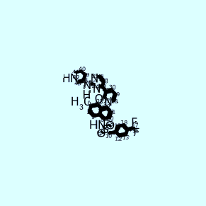 Cc1ccc2c(NS(=O)(=O)Cc3ccc(C(F)F)cc3)cccc2c1Oc1ncccc1-c1ccnc(NC2CCCNC2)n1